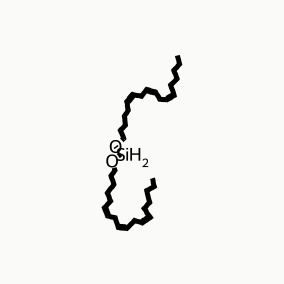 CCCCC/C=C\C/C=C\C/C=C\CCCCCO[SiH2]OCCCCC/C=C\C/C=C\C/C=C\CCCCC